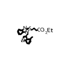 CCOC(=O)CCCSc1nc2ccccc2n1Cc1cn(C)c2cccc(C)c12